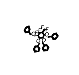 FC(F)=C1[C@H](OCc2ccccc2)[C@@H](OCc2ccccc2)[C@H](OCc2ccccc2)[C@@H](COCc2ccccc2)C1(F)F